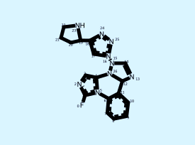 Fc1ncc2n1-c1ccccc1C1N=CN(n3cc(C4CCCN4)nn3)N21